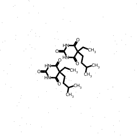 CCC1(CCC(C)C)C(=O)NC(=O)NC1=O.CCC1(CCC(C)C)C(=O)NC(=O)NC1=O